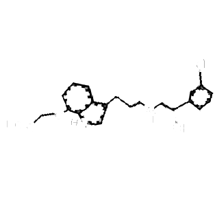 O=C(O)COc1cccc2c(CCC[AsH]C[C@@H](O)c3cccc(Cl)c3)c[nH]c12